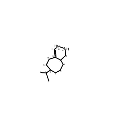 CC(C)C1CCCC2CNNC=C2CC1